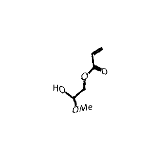 C=CC(=O)OCC(O)OC